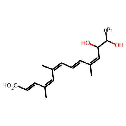 CCCC(O)C(O)C=C(C)C=CC=C(C)C=C(C)C=CC(=O)O